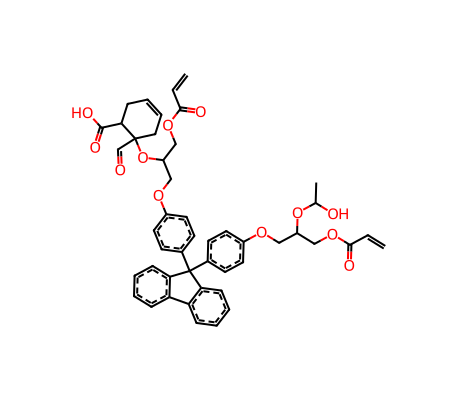 C=CC(=O)OCC(COc1ccc(C2(c3ccc(OCC(COC(=O)C=C)OC4(C=O)CC=CCC4C(=O)O)cc3)c3ccccc3-c3ccccc32)cc1)OC(C)O